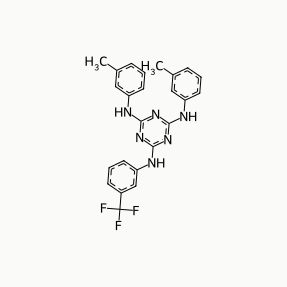 Cc1cccc(Nc2nc(Nc3cccc(C)c3)nc(Nc3cccc(C(F)(F)F)c3)n2)c1